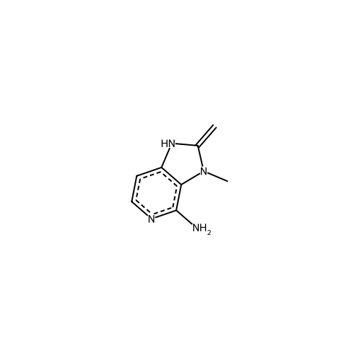 C=C1Nc2ccnc(N)c2N1C